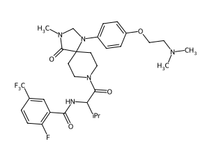 CC(C)C(NC(=O)c1cc(C(F)(F)F)ccc1F)C(=O)N1CCC2(CC1)C(=O)N(C)CN2c1ccc(OCCN(C)C)cc1